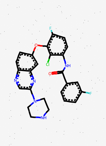 O=C(Nc1ccc(F)c(Oc2ccc3ncc(N4CCNCC4)nc3c2)c1Cl)c1cccc(F)c1